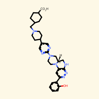 O=C(O)C1CCC(CN2CCC(c3cnc(N4CCN5c6cc(-c7ccccc7O)nnc6NC[C@H]5C4)nc3)CC2)CC1